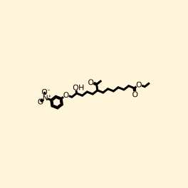 CCOC(=O)CCCCCCC(CCCC(O)COc1cccc([N+](=O)[O-])c1)C(C)=O